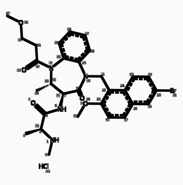 CN[C@@H](C)C(=O)N[C@@H]1C(=O)N(Cc2c(OC)ccc3cc(Br)ccc23)c2ccccc2N(C(=O)CCOC)[C@H]1C.Cl